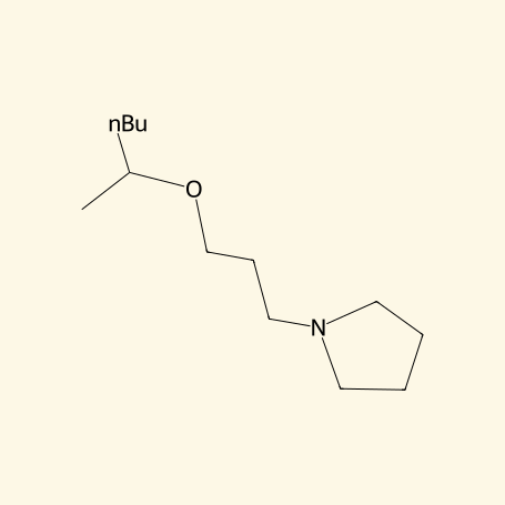 CCCCC(C)OCCCN1CCCC1